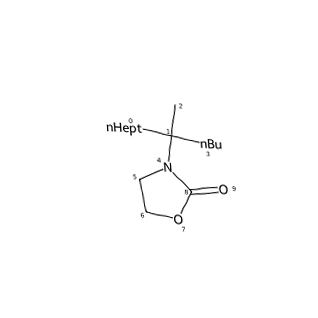 CCCCCCCC(C)(CCCC)N1CCOC1=O